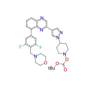 CC(C)(C)OC(=O)ON1CCC(n2cc(-c3cnc4cccc(-c5cc(F)c(CN6CCOCC6)c(F)c5)c4n3)cn2)CC1